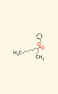 CCCCCCCC(CCC)C(=O)OCc1ccccc1